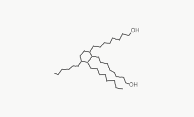 CCCCCCCCC1C(CCCCCC)CCC(CCCCCCCCO)C1CCCCCCCCO